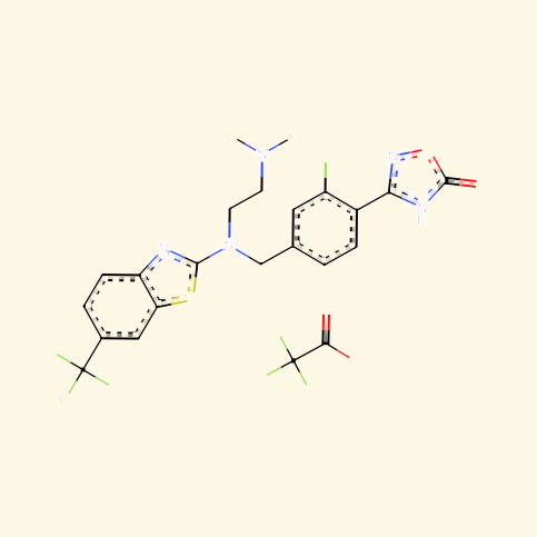 CN(C)CCN(Cc1ccc(-c2noc(=O)[nH]2)c(F)c1)c1nc2ccc(C(F)(F)F)cc2s1.O=C(O)C(F)(F)F